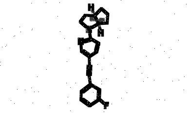 Fc1cccc(C#Cc2ccc(N3CC[C@H]4CCC[C@H]43)nc2)c1